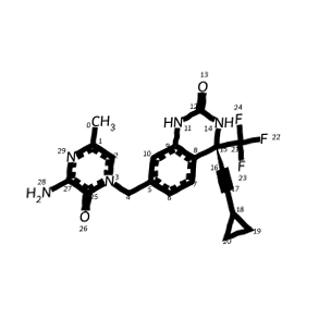 Cc1cn(Cc2ccc3c(c2)NC(=O)N[C@]3(C#CC2CC2)C(F)(F)F)c(=O)c(N)n1